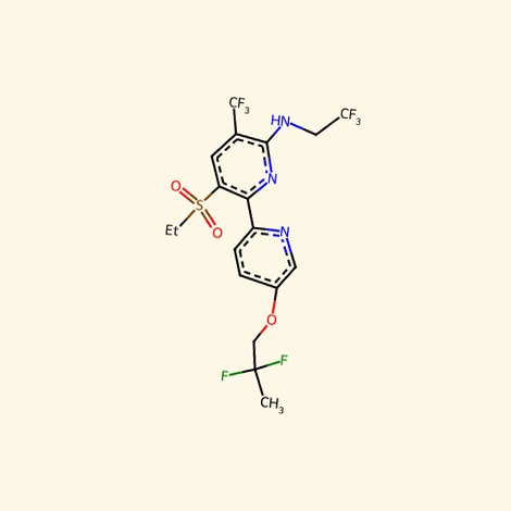 CCS(=O)(=O)c1cc(C(F)(F)F)c(NCC(F)(F)F)nc1-c1ccc(OCC(C)(F)F)cn1